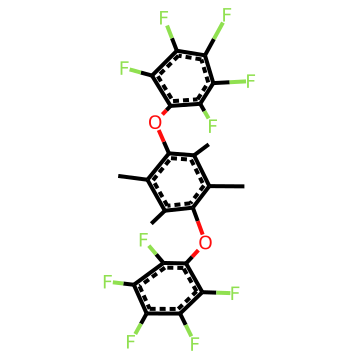 Cc1c(C)c(Oc2c(F)c(F)c(F)c(F)c2F)c(C)c(C)c1Oc1c(F)c(F)c(F)c(F)c1F